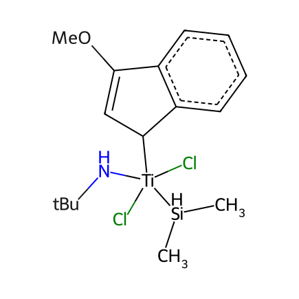 COC1=C[CH]([Ti]([Cl])([Cl])([NH]C(C)(C)C)[SiH](C)C)c2ccccc21